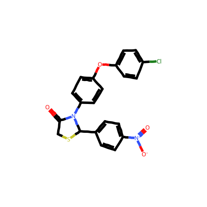 O=C1CSC(c2ccc([N+](=O)[O-])cc2)N1c1ccc(Oc2ccc(Cl)cc2)cc1